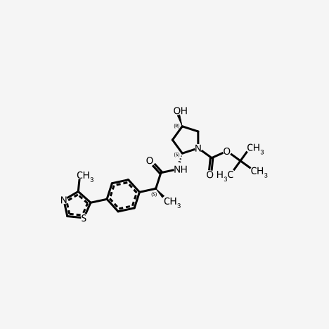 Cc1ncsc1-c1ccc([C@H](C)C(=O)N[C@@H]2C[C@@H](O)CN2C(=O)OC(C)(C)C)cc1